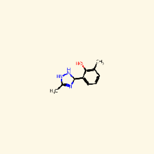 CC1=NC(c2cccc(C)c2O)NN1